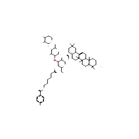 CC1O[C@@H](OC2C(O)[C@@H](NC(=O)CCCCCNC(=O)c3ccc(I)cc3)C(CO)O[C@H]2OC(=O)[C@]23CCC(C)(C)CC2C2=CCC4C5(C)CC[C@H](O)C(C)(C=O)[C@@H]5CCC4(C)C2(C)C[C@H]3O)C(O)C(O)[C@H]1O[C@@H]1OC[C@@H](O)C(O)C1O